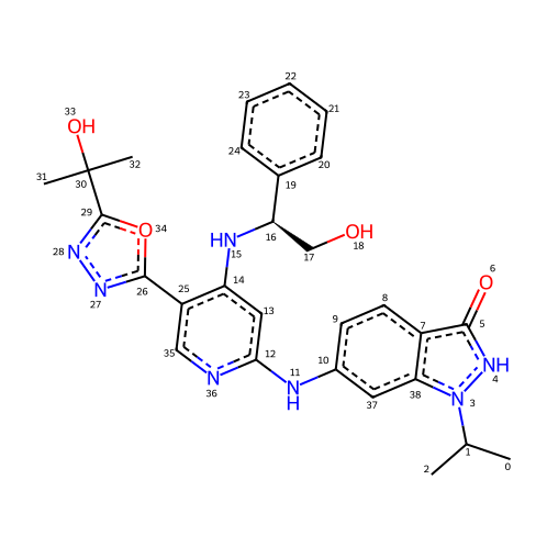 CC(C)n1[nH]c(=O)c2ccc(Nc3cc(N[C@H](CO)c4ccccc4)c(-c4nnc(C(C)(C)O)o4)cn3)cc21